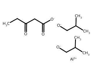 CC(C)C[O-].CC(C)C[O-].CCC(=O)CC(=O)[O-].[Al+3]